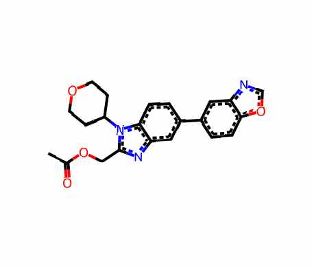 CC(=O)OCc1nc2cc(-c3ccc4ocnc4c3)ccc2n1C1CCOCC1